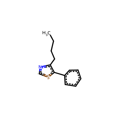 CCCCc1n[c]sc1-c1ccccc1